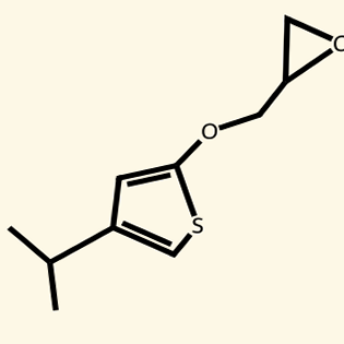 CC(C)c1csc(OCC2CO2)c1